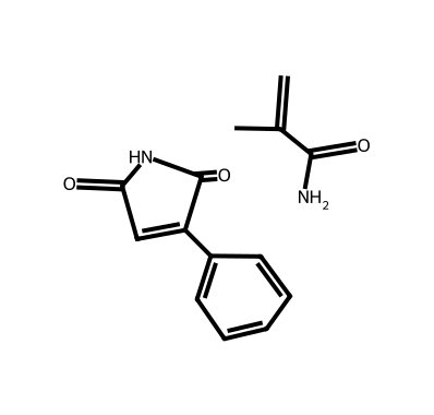 C=C(C)C(N)=O.O=C1C=C(c2ccccc2)C(=O)N1